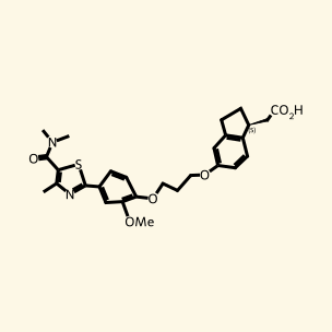 COc1cc(-c2nc(C)c(C(=O)N(C)C)s2)ccc1OCCCOc1ccc2c(c1)CC[C@H]2CC(=O)O